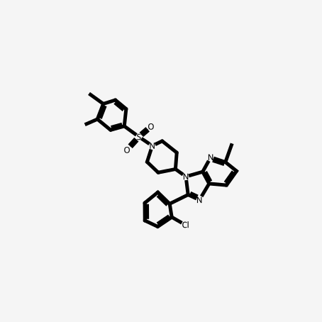 Cc1ccc2nc(-c3ccccc3Cl)n(C3CCN(S(=O)(=O)c4ccc(C)c(C)c4)CC3)c2n1